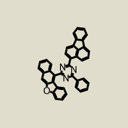 c1ccc(-c2nc(-c3ccc4c5c(cccc35)-c3ccccc3-4)nc(-c3c4ccccc4cc4oc5ccccc5c34)n2)cc1